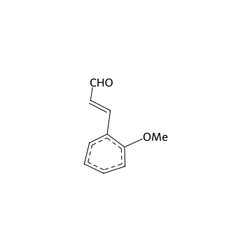 COc1ccccc1C=CC=O